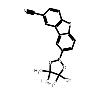 CC1(C)OB(c2ccc3sc4ccc(C#N)cc4c3c2)OC1(C)C